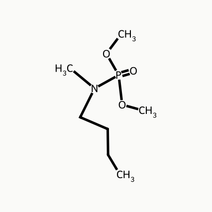 CCCCN(C)P(=O)(OC)OC